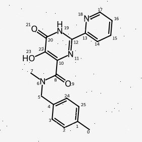 Cc1ccc(CN(C)C(=O)c2nc(-c3ccccn3)[nH]c(=O)c2O)cc1